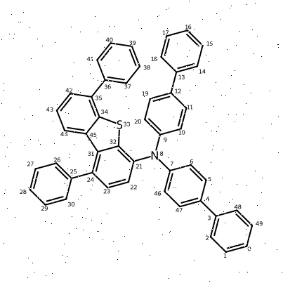 c1ccc(-c2ccc(N(c3ccc(-c4ccccc4)cc3)c3ccc(-c4ccccc4)c4c3sc3c(-c5ccccc5)cccc34)cc2)cc1